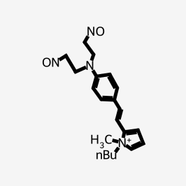 CCCC[N+]1(C)C=CC=C1/C=C/c1ccc(N(CCN=O)CCN=O)cc1